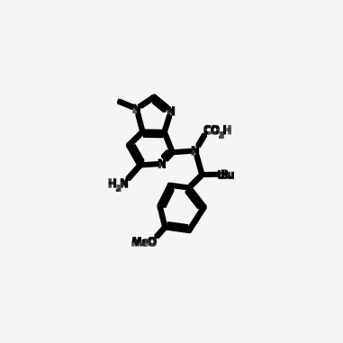 COc1ccc(C(N(C(=O)O)c2nc(N)cc3c2ncn3C)C(C)(C)C)cc1